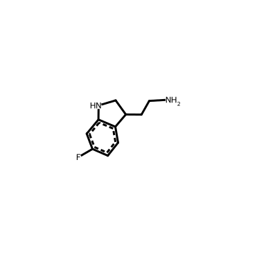 NCCC1CNc2cc(F)ccc21